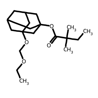 CCOCOC12CC3CC(C1)CC(OC(=O)C(C)(C)CC)(C3)C2